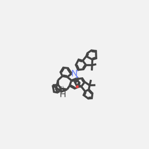 CC1(C)c2ccccc2-c2ccc(N(c3ccc4c(c3)C(C)(C)c3ccccc3-4)c3cccc4c3-c3ccccc3C3CC5CC6CC4C5[C@H]63)cc21